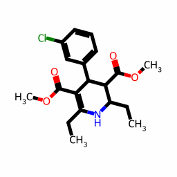 CCC1=C(C(=O)OC)C(c2cccc(Cl)c2)C(C(=O)OC)C(CC)N1